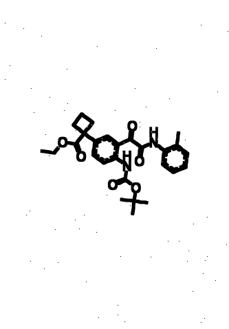 CCOC(=O)C1(c2ccc(NC(=O)OC(C)(C)C)c(C(=O)C(=O)Nc3ccccc3C)c2)CCC1